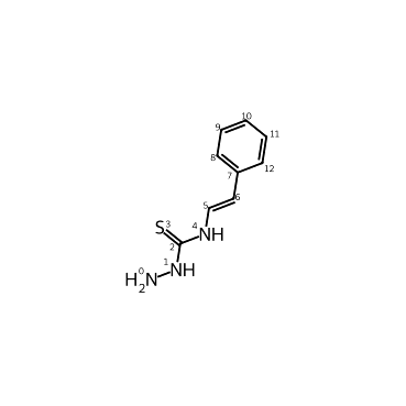 NNC(=S)NC=Cc1ccccc1